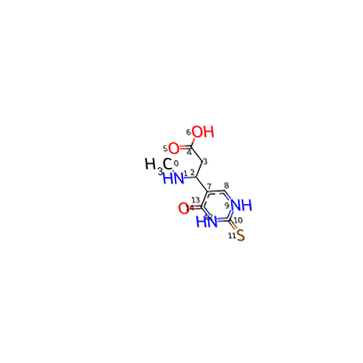 CNC(CC(=O)O)c1c[nH]c(=S)[nH]c1=O